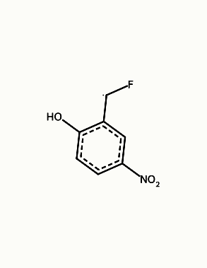 O=[N+]([O-])c1ccc(O)c([CH]F)c1